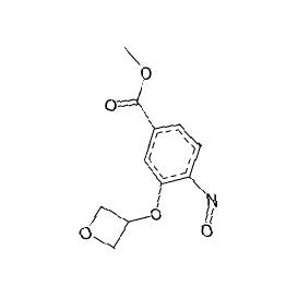 COC(=O)c1ccc(N=O)c(OC2COC2)c1